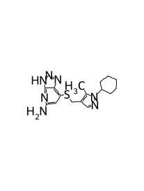 Cc1c(CSc2cc(N)nc3[nH]nnc23)cnn1C1CCCCC1